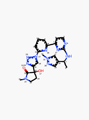 CC(Nc1nccc(-c2cccc(-n3cc(C4(O)CCN(C)C4=O)nn3)n2)n1)c1cnn(C)c1